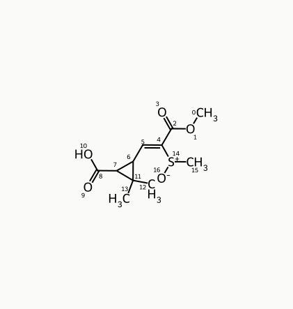 COC(=O)C(=CC1C(C(=O)O)C1(C)C)[S+](C)[O-]